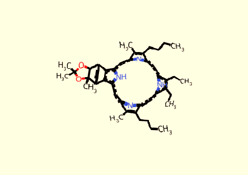 CCCCC1=C(C)c2cc3[nH]c(cc4nc(cc5[nH]c(cc1n2)c(CC)c5CC)C(CCCC)=C4C)c1c3C2C=CC1C1(C)OC(C)(C)OC21